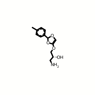 Cc1ccc(C2OC=C(OC[C@H](O)CN)O2)cc1